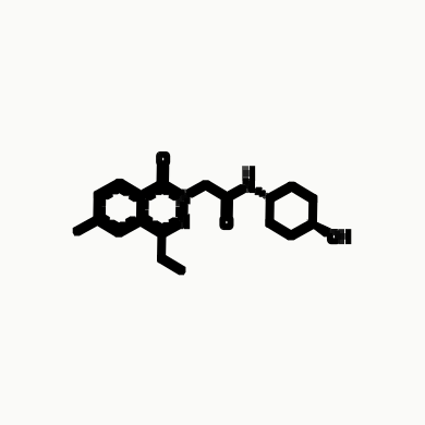 CCc1nn(CC(=O)N[C@H]2CC[C@H](O)CC2)c(=O)c2ccc(C)cc12